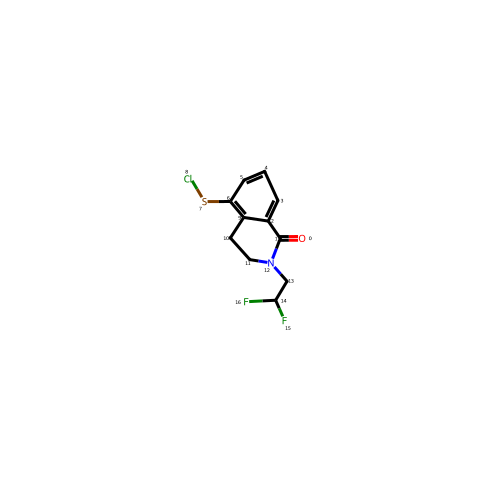 O=C1c2cccc(SCl)c2CCN1CC(F)F